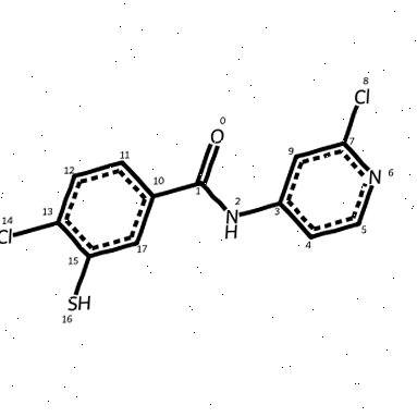 O=C(Nc1ccnc(Cl)c1)c1ccc(Cl)c(S)c1